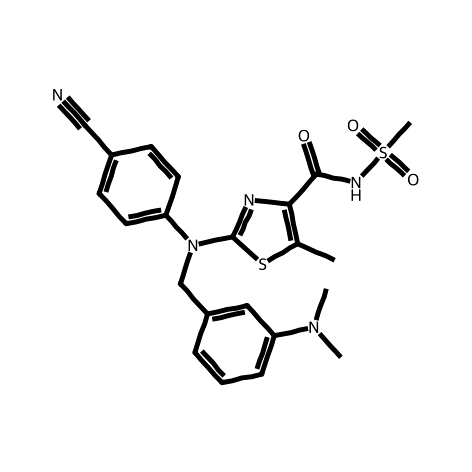 Cc1sc(N(Cc2cccc(N(C)C)c2)c2ccc(C#N)cc2)nc1C(=O)NS(C)(=O)=O